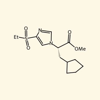 CCS(=O)(=O)c1cn([C@@H](CC2CCCC2)C(=O)OC)cn1